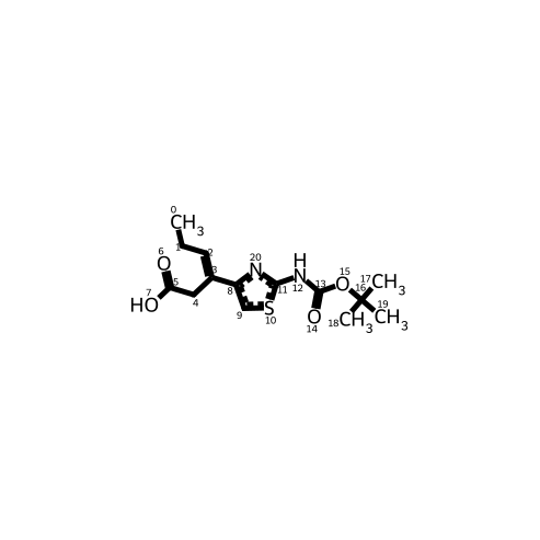 CC/C=C(\CC(=O)O)c1csc(NC(=O)OC(C)(C)C)n1